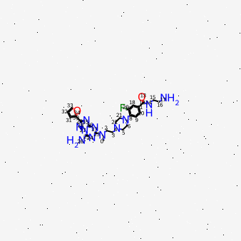 CN(CCN1CCN(c2ccc(C(=O)NCCN)cc2F)CC1)c1nc(N)n2nc(-c3ccco3)nc2n1